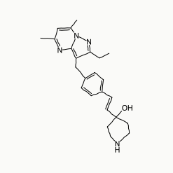 CCc1nn2c(C)cc(C)nc2c1Cc1ccc(C=CC2(O)CCNCC2)cc1